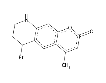 CCC1CCNc2cc3oc(=O)cc(C)c3cc21